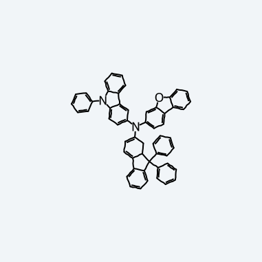 C1=C2c3ccccc3C(c3ccccc3)(c3ccccc3)C2CC(N(c2ccc3c(c2)oc2ccccc23)c2ccc3c(c2)c2ccccc2n3-c2ccccc2)=C1